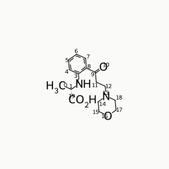 C[C@H](Nc1ccccc1C(=O)CCN1CCOCC1)C(=O)O